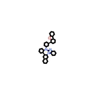 c1cc(-c2cccc3c2oc2ccccc23)cc(N2c3ccccc3-c3cc4ccccc4cc3-n3c2nc2ccccc23)c1